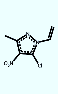 C=Cn1nc(C)c([N+](=O)[O-])c1Cl